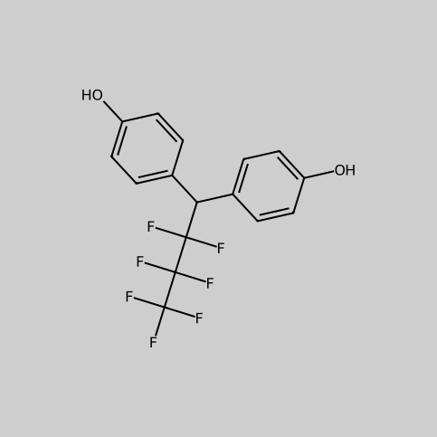 Oc1ccc(C(c2ccc(O)cc2)C(F)(F)C(F)(F)C(F)(F)F)cc1